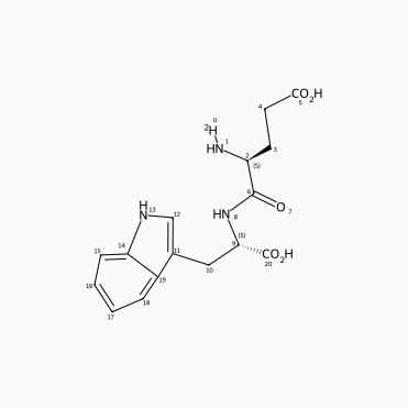 [2H]N[C@@H](CCC(=O)O)C(=O)N[C@@H](Cc1c[nH]c2ccccc12)C(=O)O